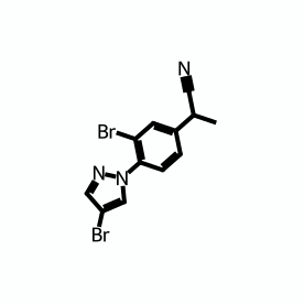 CC(C#N)c1ccc(-n2cc(Br)cn2)c(Br)c1